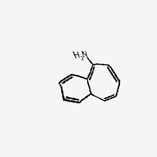 NC1=C2C=CC=CC2C=CC=C1